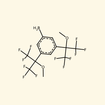 Bc1cc(C(OC)(C(F)(F)F)C(F)(F)F)cc(C(OC)(C(F)(F)F)C(F)(F)F)c1